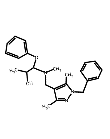 Cc1nn(Cc2ccccc2)c(C)c1CN(C)C(Oc1ccccc1)C(C)O